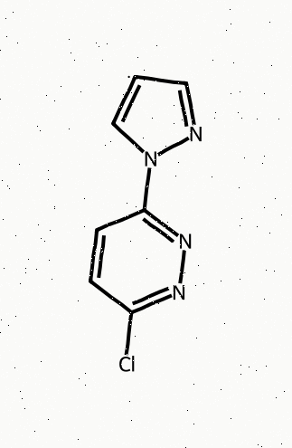 Clc1ccc(-n2c[c]cn2)nn1